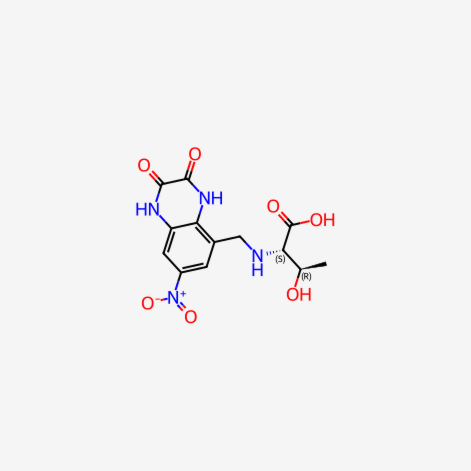 C[C@@H](O)[C@H](NCc1cc([N+](=O)[O-])cc2[nH]c(=O)c(=O)[nH]c12)C(=O)O